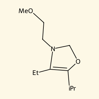 CCC1=C(C(C)C)OCN1CCOC